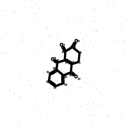 O=C1CCC2=C(C1=O)C(=O)c1ccccc1C2=O